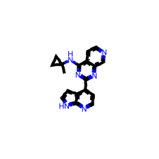 CC1(Nc2nc(-c3ccnc4[nH]ccc34)nc3cnccc23)CC1